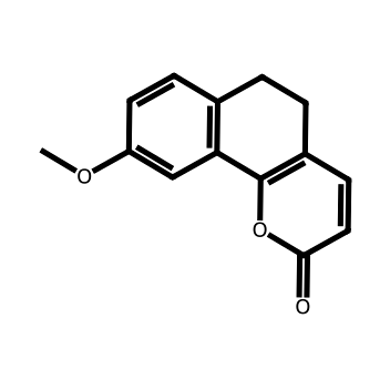 COc1ccc2c(c1)-c1oc(=O)ccc1CC2